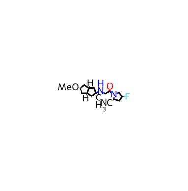 CO[C@H]1C[C@@H]2CC(C)(NCC(=O)N3C[C@@H](F)C[C@H]3C#N)C[C@@H]2C1